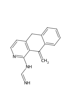 C=C1c2ccccc2Cc2ccnc(NC=N)c21